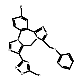 CC(C)c1nc(-c2ncn3c2Cn2c(COc4ccccc4)nnc2-c2cc(F)ccc2-3)no1